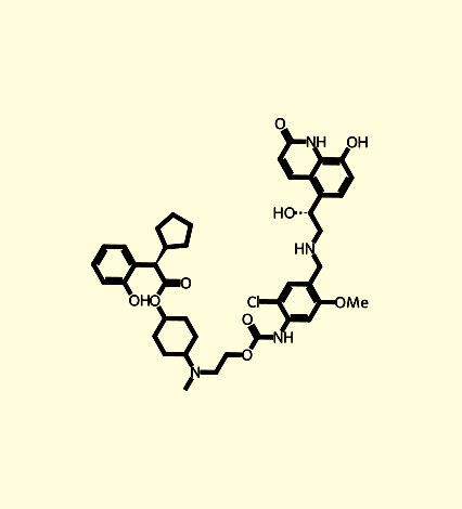 COc1cc(NC(=O)OCCN(C)C2CCC(OC(=O)[C@@H](c3ccccc3O)C3CCCC3)CC2)c(Cl)cc1CNC[C@H](O)c1ccc(O)c2[nH]c(=O)ccc12